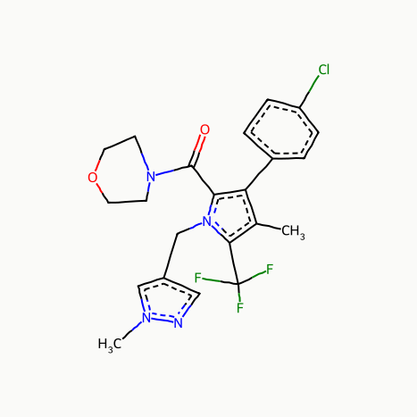 Cc1c(-c2ccc(Cl)cc2)c(C(=O)N2CCOCC2)n(Cc2cnn(C)c2)c1C(F)(F)F